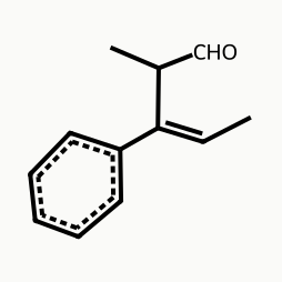 CC=C(c1ccccc1)C(C)C=O